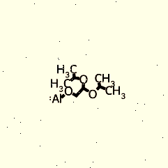 CC(C)OC(C[O][Al])OC(C)C